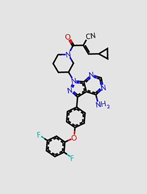 N#CC(=CC1CC1)C(=O)N1CCCC(n2nc(-c3ccc(Oc4cc(F)ccc4F)cc3)c3c(N)ncnc32)C1